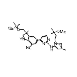 COC(C)(C)CCn1nc(C)cc1Nc1nccc(-c2cc(C#N)c3c(c2)[C@@](C)(CO[Si](C)(C)C(C)(C)C)CN3)n1